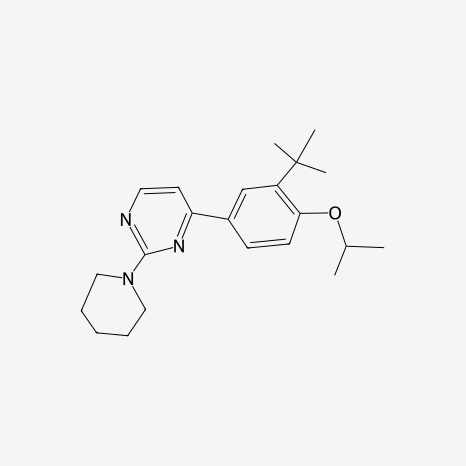 CC(C)Oc1ccc(-c2ccnc(N3CCCCC3)n2)cc1C(C)(C)C